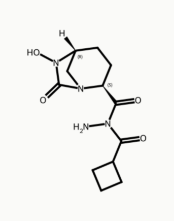 NN(C(=O)C1CCC1)C(=O)[C@@H]1CC[C@@H]2CN1C(=O)N2O